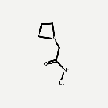 CCNC(=O)CN1CCC1